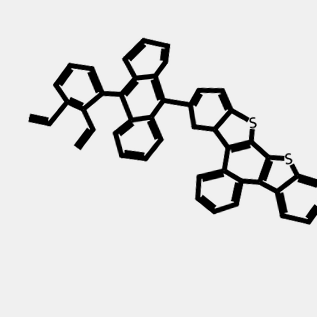 C=Cc1cccc(-c2c3ccccc3c(C3=CC=C4Sc5c(c6ccccc6c6c5sc5ccccc56)C4C3)c3ccccc23)c1C=C